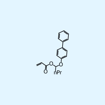 C=CC(=O)OC(CCC)Oc1ccc(-c2ccccc2)cc1